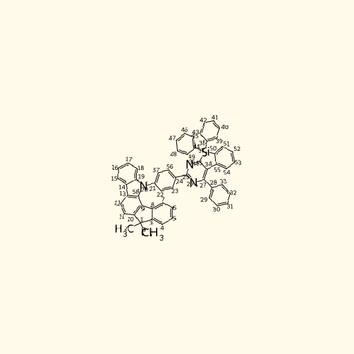 CC1(C)c2ccccc2-c2c1ccc1c3ccccc3n(-c3ccc(-c4nc(-c5ccccc5)c5c(n4)[Si](c4ccccc4)(c4ccccc4)c4ccccc4-5)cc3)c21